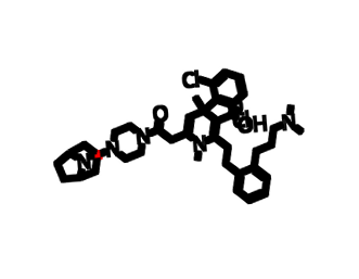 CN(C)CCCc1ccccc1CCC1=C(C(=O)O)C(C)(c2c(Cl)cccc2Cl)C=C(CC(=O)N2CCN(C3CC4CCC(C3)N4C)CC2)N1C